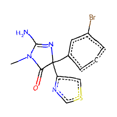 CN1C(=O)C(c2cccc(Br)c2)(c2cscn2)N=C1N